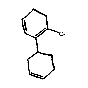 OC1=C(C2CC=CCC2)C=CCC1